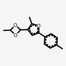 Cc1ccc(-c2cc(C3OC(C)O3)c(C)o2)cc1